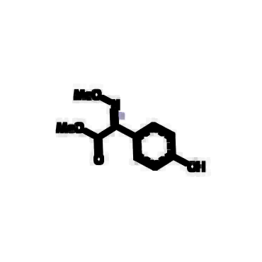 CO/N=C(\C(=O)OC)c1ccc(O)cc1